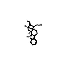 C/C=C1/CN2C3Cc4c(n(C)c5ccccc45)[C@@H]2C[C@@H]1C3CO